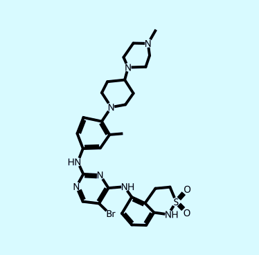 Cc1cc(Nc2ncc(Br)c(Nc3cccc4c3CCS(=O)(=O)N4)n2)ccc1N1CCC(N2CCN(C)CC2)CC1